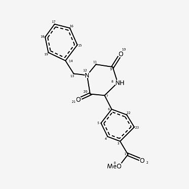 COC(=O)c1ccc(C2NC(=O)CN(Cc3ccccc3)C2=O)cc1